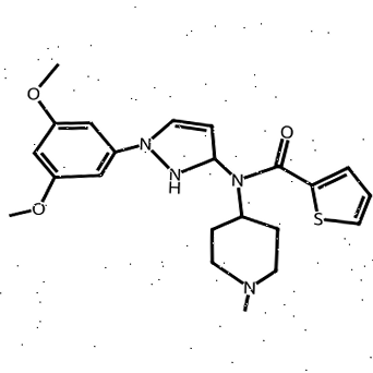 COc1cc(OC)cc(N2C=CC(N(C(=O)c3cccs3)C3CCN(C)CC3)N2)c1